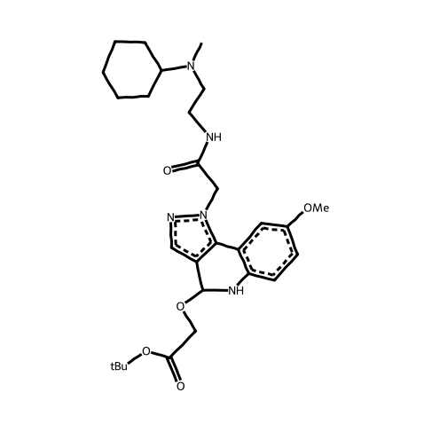 COc1ccc2c(c1)-c1c(cnn1CC(=O)NCCN(C)C1CCCCC1)C(OCC(=O)OC(C)(C)C)N2